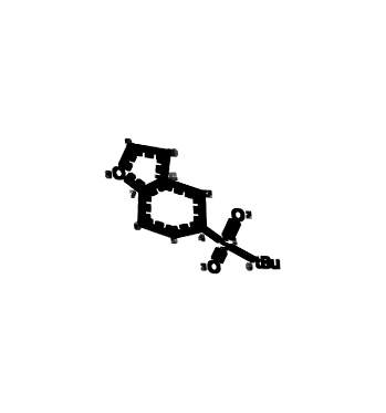 CC(C)(C)S(=O)(=O)c1ccc2occc2c1